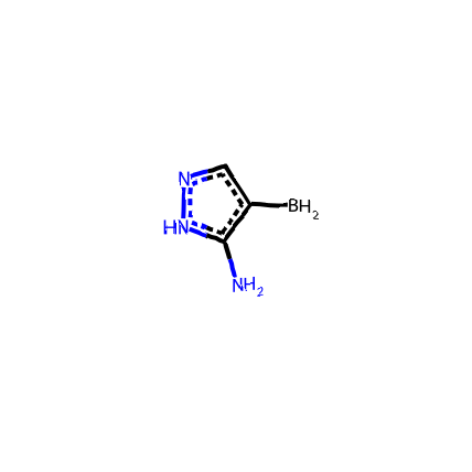 Bc1cn[nH]c1N